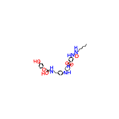 CCCCCCNC(=O)Nc1ccc(S(=O)(=O)N2CCC(Nc3ccc(CCNC[C@H](O)COc4ccc(O)cc4)cc3)CC2)cc1